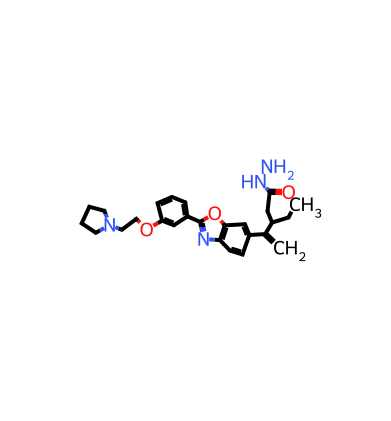 C=C(c1ccc2nc(-c3cccc(OCCN4CCCC4)c3)oc2c1)C(CC)CC(=O)NN